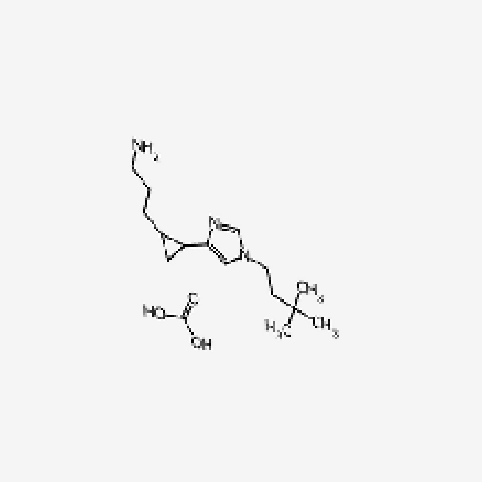 CC(C)(C)CCn1cnc(C2CC2CCCN)c1.O=C(O)O